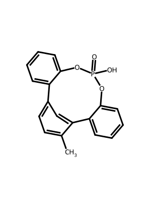 Cc1ccc2cc1-c1ccccc1OP(=O)(O)Oc1ccccc1-2